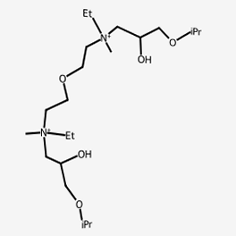 CC[N+](C)(CCOCC[N+](C)(CC)CC(O)COC(C)C)CC(O)COC(C)C